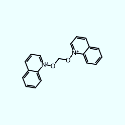 c1ccc2c(c1)ccc[n+]2OCO[n+]1cccc2ccccc21